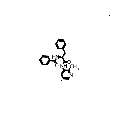 Cc1ncccc1NC(=O)C(Cc1ccccc1)NC(=O)c1ccccc1